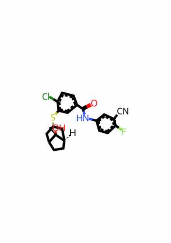 C[C@]1(O)C2CC[C@@H]1C[C@@H](Sc1cc(C(=O)Nc3ccc(F)c(C#N)c3)ccc1Cl)C2